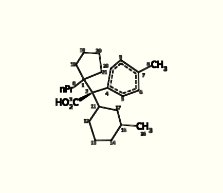 CCCC1([C@](C(=O)O)(c2ccc(C)cc2)C2CCCC(C)C2)CCCC1